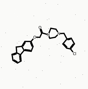 O=C(COc1ccc2c(c1)Cc1ccccc1-2)N1CCN(Cc2ccc(Cl)cc2)CC1